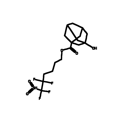 O=C(OCCCCC(F)(F)C(F)(F)[SH](=O)=O)C12CC3CC(CC(O)(C3)C1)C2